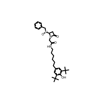 CC(C)(C)c1cc(CCCCCCNC(=O)CN2C(=O)CC2[S+]([O-])Cc2ccccc2)cc(C(C)(C)C)c1O